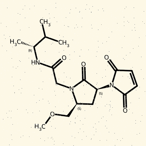 COC[C@@H]1C[C@H](N2C(=O)C=CC2=O)C(=O)N1CC(=O)N[C@H](C)C(C)C